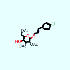 CC(=O)OCC1OC(OC/C=C/c2ccc(Cl)cc2)C(OC(C)=O)C(OC(C)=O)C1O